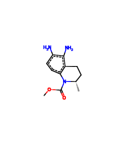 COC(=O)N1c2ccc(N)c(N)c2CC[C@@H]1C